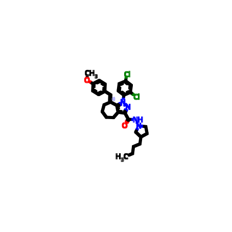 CCCCC1CCN(NC(=O)c2nn(-c3ccc(Cl)cc3Cl)c3c2CCCC/C3=C\c2ccc(OC)cc2)C1